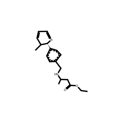 CCOC(=O)CC(C)NCc1ccc([C@H]2N=CC=CC2C)cc1